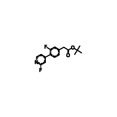 CC(C)(C)OC(=O)Cc1ccc(-c2ccnc(F)c2)c(F)c1